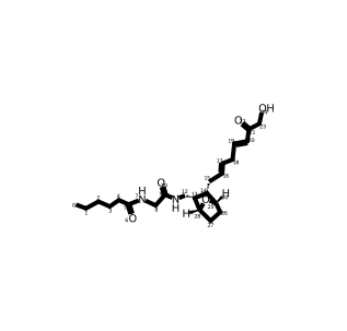 CCCCCC(=O)NCC(=O)NC[C@@H]1[C@H](CC=CCC=CC(=O)CO)[C@@H]2CC[C@H]1O2